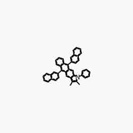 Cc1c(C)n(-c2ccccc2)c2cc3c(-c4ccc5ccccc5c4)c4ccccc4c(-c4ccc5ccccc5c4)c3cc12